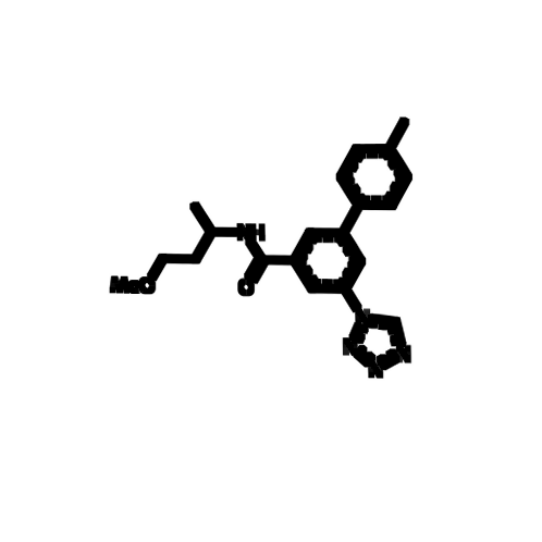 COCCC(C)NC(=O)c1cc(-c2ccc(C)cc2)cc(-n2cnnn2)c1